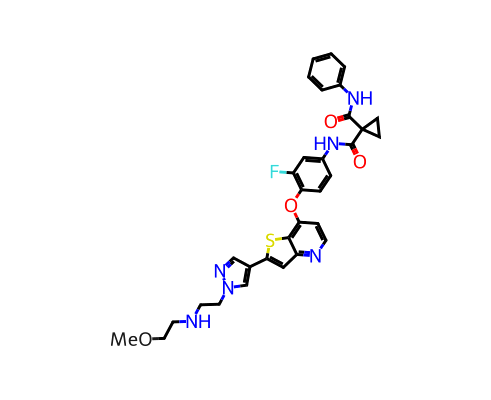 COCCNCCn1cc(-c2cc3nccc(Oc4ccc(NC(=O)C5(C(=O)Nc6ccccc6)CC5)cc4F)c3s2)cn1